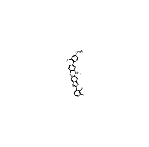 CCCOc1ccc(-c2ccc(Cn3cc4nc(-c5cccc(F)c5F)nc-4cn3)c(N)n2)c(C(F)(F)F)c1